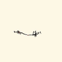 O=P(O)(O)OCCCCCCCCCCCCCCCCCCCNC(=S)S